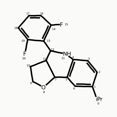 CC(C)c1ccc2c(c1)C1OCCC1C(c1c(F)cccc1F)N2